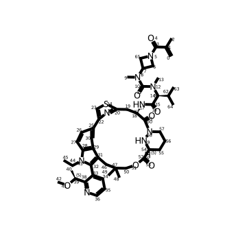 C=C(C)C(=O)N1CC(N(C)C(=O)N(C)[C@H](C(=O)N[C@H]2Cc3nc(cs3)-c3ccc4c(c3)c(c(-c3cccnc3[C@H](C)OC)n4CC)CC(C)(C)COC(=O)[C@@H]3CCCN(N3)C2=O)C(C)C)C1